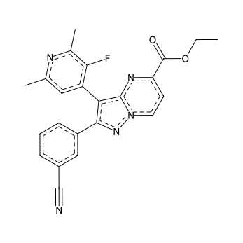 CCOC(=O)c1ccn2nc(-c3cccc(C#N)c3)c(-c3cc(C)nc(C)c3F)c2n1